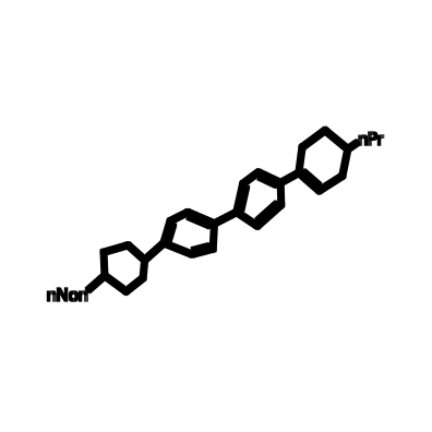 CCCCCCCCCC1CCC(c2ccc(-c3ccc(C4=CCC(CCC)CC4)cc3)cc2)CC1